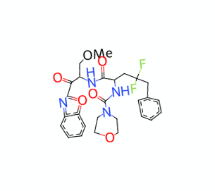 COCC(NC(=O)C(CC(F)(F)Cc1ccccc1)NC(=O)N1CCOCC1)C(=O)c1nc2ccccc2o1